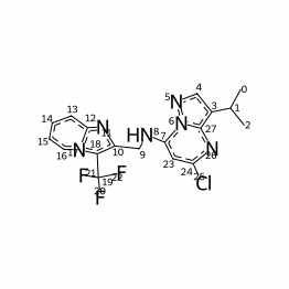 CC(C)c1cnn2c(NCc3nc4ccccn4c3C(F)(F)F)cc(Cl)nc12